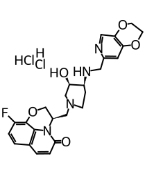 Cl.Cl.O=c1ccc2ccc(F)c3c2n1[C@H](CN1CC[C@H](NCc2cc4c(cn2)OCCO4)[C@H](O)C1)CO3